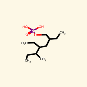 CCC(COP(=O)(O)O)CC(CC)C(C)CC